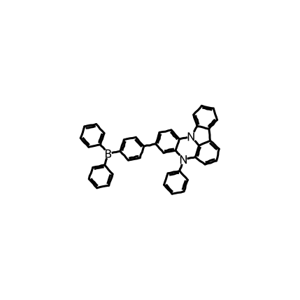 c1ccc(B(c2ccccc2)c2ccc(-c3ccc4c(c3)N(c3ccccc3)c3cccc5c6ccccc6n-4c35)cc2)cc1